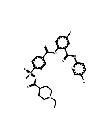 CCN1CCC(C(=O)N=S(C)(=O)c2ccc(C(=O)Nc3ccc(Cl)cc3C(=O)Nc3ccc(Cl)cn3)cc2)CC1